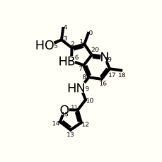 CC1=C(C(C)O)Bc2c(NCc3ccco3)cc(C)nc21